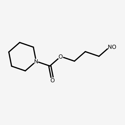 O=NCCCOC(=O)N1CCCCC1